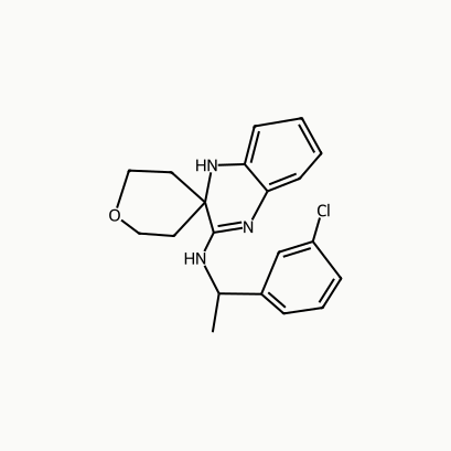 CC(NC1=Nc2ccccc2NC12CCOCC2)c1cccc(Cl)c1